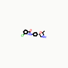 CC1CNC[C@H](c2ccc(NC(=O)c3cccc(Cl)c3)cc2)O1